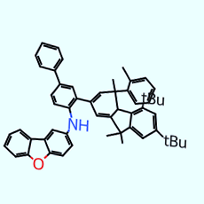 Cc1ccccc1C1(C)C=C(c2cc(-c3ccccc3)ccc2Nc2ccc3oc4ccccc4c3c2)C=C2C1c1c(C(C)(C)C)cc(C(C)(C)C)cc1C2(C)C